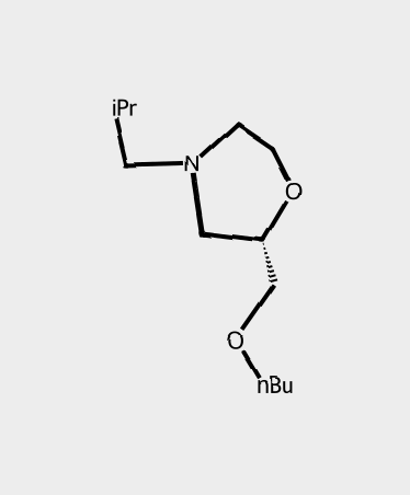 CCCCOC[C@@H]1CN(CC(C)C)CCO1